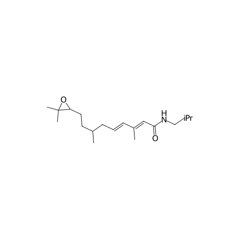 CC(/C=C/CC(C)CCC1OC1(C)C)=C\C(=O)NCC(C)C